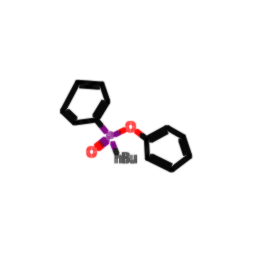 CCCCP(=O)(Oc1ccccc1)c1ccccc1